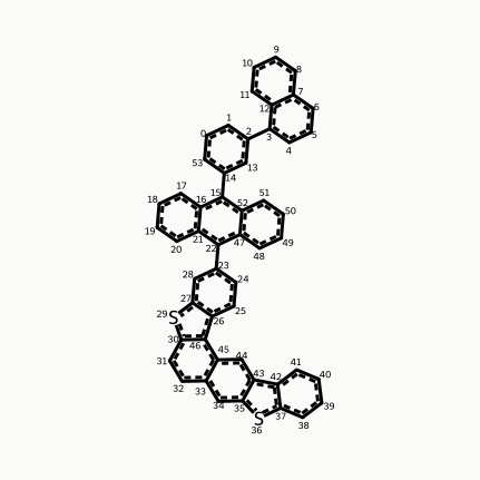 c1cc(-c2cccc3ccccc23)cc(-c2c3ccccc3c(-c3ccc4c(c3)sc3ccc5cc6sc7ccccc7c6cc5c34)c3ccccc23)c1